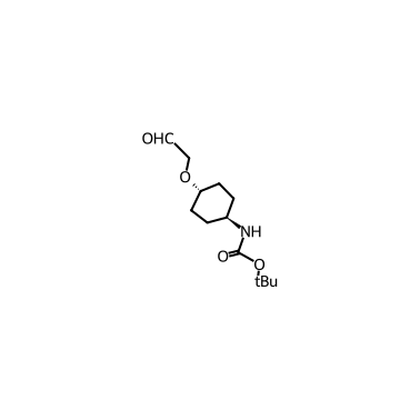 CC(C)(C)OC(=O)N[C@H]1CC[C@H](OCC=O)CC1